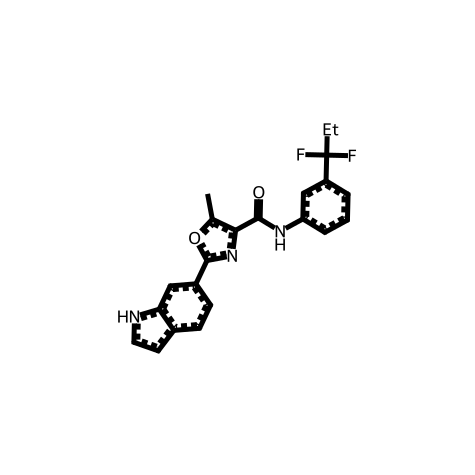 CCC(F)(F)c1cccc(NC(=O)c2nc(-c3ccc4cc[nH]c4c3)oc2C)c1